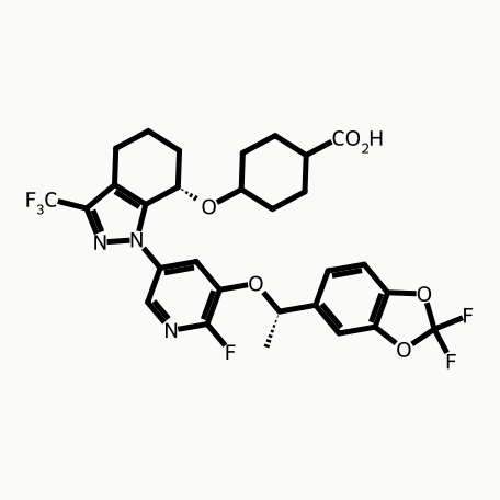 C[C@H](Oc1cc(-n2nc(C(F)(F)F)c3c2[C@@H](OC2CCC(C(=O)O)CC2)CCC3)cnc1F)c1ccc2c(c1)OC(F)(F)O2